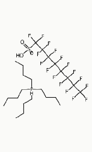 CCCC[PH](CCCC)(CCCC)CCCC.O=S(=O)(O)C(F)(F)C(F)(F)C(F)(F)C(F)(F)C(F)(F)C(F)(F)C(F)(F)C(F)(F)F